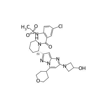 CS(=O)(=O)Nc1ccc(Cl)cc1C(=O)N1CCCC[C@H]1c1cc2nc(N3CC(O)C3)cc(C3CCOCC3)n2n1